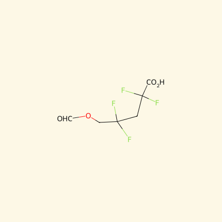 O=COCC(F)(F)CC(F)(F)C(=O)O